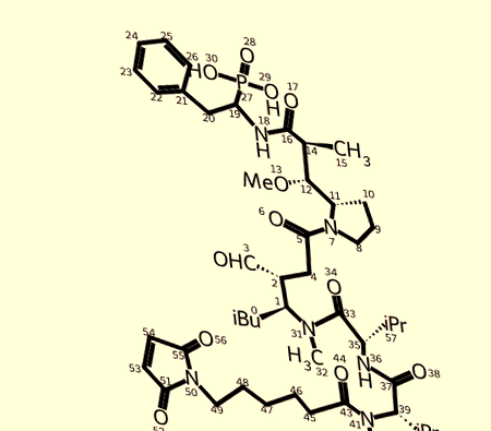 CCC(C)[C@@H]([C@H](C=O)CC(=O)N1CCC[C@H]1[C@H](OC)[C@H](C)C(=O)NC(Cc1ccccc1)P(=O)(O)O)N(C)C(=O)[C@@H](NC(=O)[C@H](C(C)C)N(C)C(=O)CCCCCN1C(=O)C=CC1=O)C(C)C